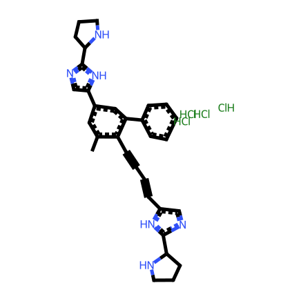 Cc1cc(-c2cnc(C3CCCN3)[nH]2)cc(-c2ccccc2)c1C#CC#Cc1cnc(C2CCCN2)[nH]1.Cl.Cl.Cl.Cl